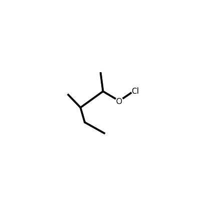 CCC(C)C(C)OCl